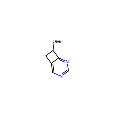 COC1Cc2cncnc21